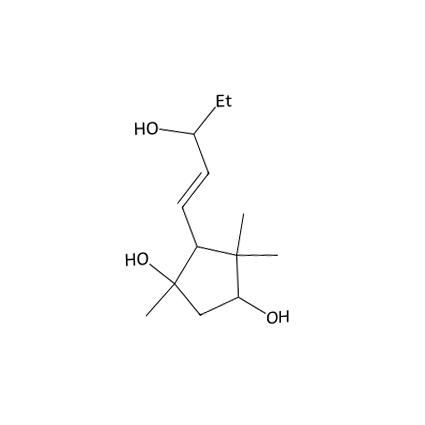 CCC(O)/C=C/C1C(C)(O)CC(O)C1(C)C